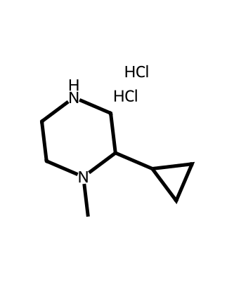 CN1CCNCC1C1CC1.Cl.Cl